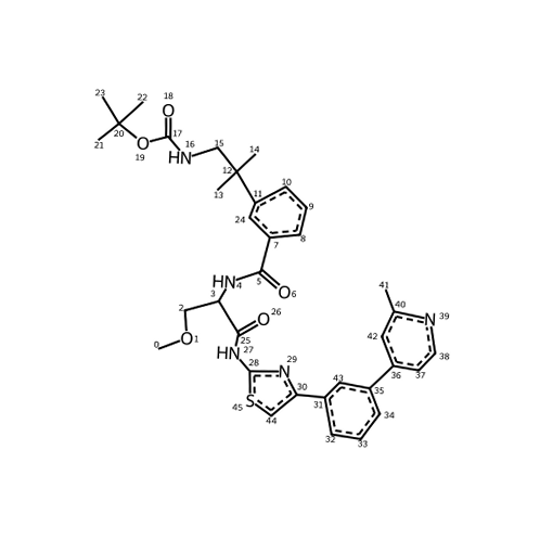 COCC(NC(=O)c1cccc(C(C)(C)CNC(=O)OC(C)(C)C)c1)C(=O)Nc1nc(-c2cccc(-c3ccnc(C)c3)c2)cs1